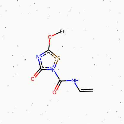 C=CNC(=O)n1sc(OCC)nc1=O